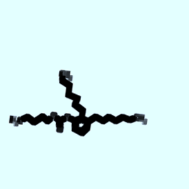 CCCCCCCc1cccc(OC(=O)OCCCCC)c1CCCCCCC